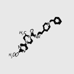 COc1ncc(N2CCN(C(=O)NCCC3CCN(Cc4ccccc4)CC3)[C@H](C)C2)cn1